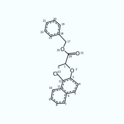 CC(Oc1ccc2ccccc2c1Cl)C(=O)OCc1ccccc1